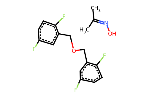 CC(C)=NO.Fc1ccc(F)c(COCc2cc(F)ccc2F)c1